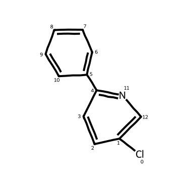 Clc1c[c]c(-c2ccccc2)nc1